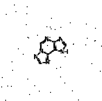 c1nc2c3[nH]cnc3ncn2n1